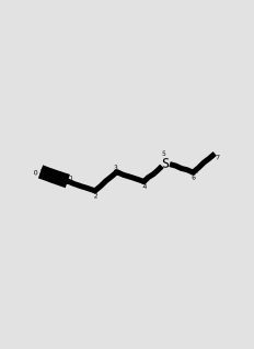 C#CCCCS[CH]C